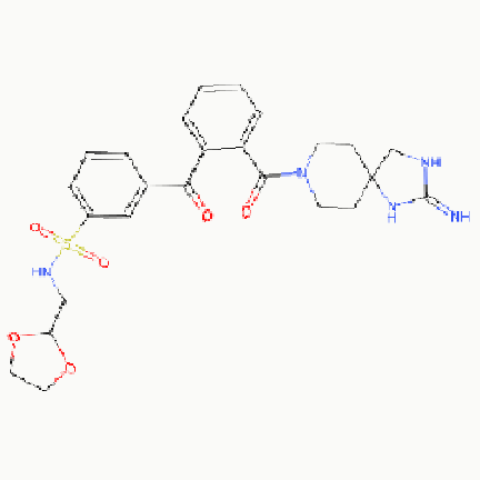 N=C1NCC2(CCN(C(=O)c3ccccc3C(=O)c3cccc(S(=O)(=O)NCC4OCCO4)c3)CC2)N1